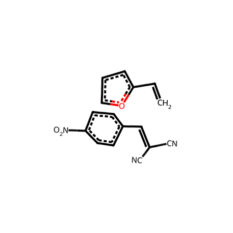 C=Cc1ccco1.N#CC(C#N)=Cc1ccc([N+](=O)[O-])cc1